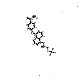 CC(C)(C)CCNCc1cccc2c(Oc3ccc(C(N)=O)cn3)cccc12